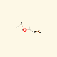 CCOC[C]=S